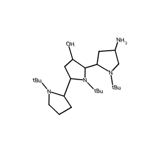 CC(C)(C)N1CCCC1C1CC(O)C(C2CC(N)CN2C(C)(C)C)N1C(C)(C)C